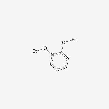 CCOc1cccc[n+]1OCC